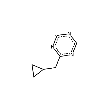 [c]1ncnc(CC2CC2)n1